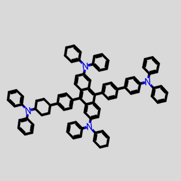 C1=CC(N(c2ccccc2)c2ccc3c(-c4ccc(C5CCC(N(c6ccccc6)c6ccccc6)CC5)cc4)c4cc(N(C5=CCCC=C5)c5ccccc5)ccc4c(-c4ccc(-c5ccc(N(c6ccccc6)c6ccccc6)cc5)cc4)c3c2)=CCC1